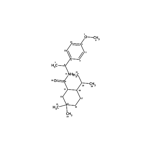 COc1ccc(C(C)NC(=O)C2CC(C)(C)CCC2C(C)C)cc1